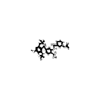 COc1cc2c(c3c1OC(C)(C)C3)C(c1ccc(C(=O)O)c(NC(=O)c3cccc(NC(C)=O)c3)c1)=NC(C)(C)C2